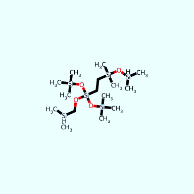 C[SiH](C)CO[Si](CC[Si](C)(C)O[SiH](C)C)(O[Si](C)(C)C)O[Si](C)(C)C